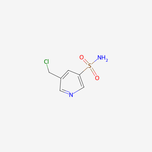 NS(=O)(=O)c1cncc(CCl)c1